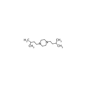 CC(C)CCN1CCN(CCC(C)C)CC1